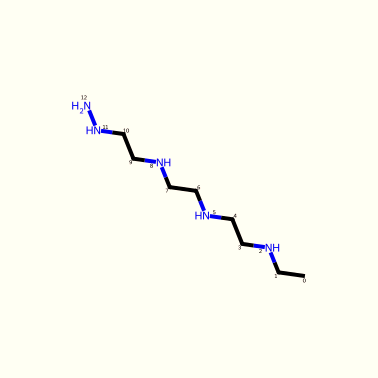 CCNCCNCCNCCNN